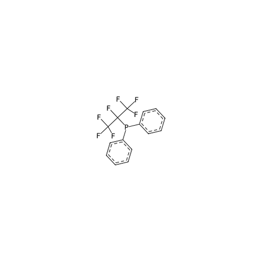 FC(F)(F)C(F)(P(c1ccccc1)c1ccccc1)C(F)(F)F